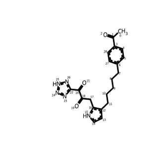 CC(=O)c1ccc(CCCCCc2cc[nH]c2CC(=O)C(=O)c2nn[nH]n2)cc1